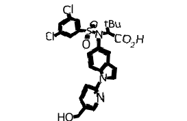 CC(C)(C)C(C(=O)O)N(c1ccc2c(ccn2-c2ccc(CO)cn2)c1)S(=O)(=O)c1cc(Cl)cc(Cl)c1